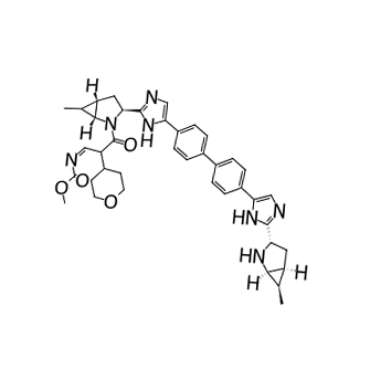 COC(=O)/N=C\C(C(=O)N1[C@@H]2C(C)[C@@H]2C[C@H]1c1ncc(-c2ccc(-c3ccc(-c4cnc([C@@H]5C[C@H]6[C@@H](C)[C@H]6N5)[nH]4)cc3)cc2)[nH]1)C1CCOCC1